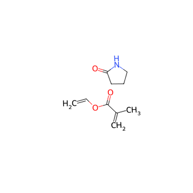 C=COC(=O)C(=C)C.O=C1CCCN1